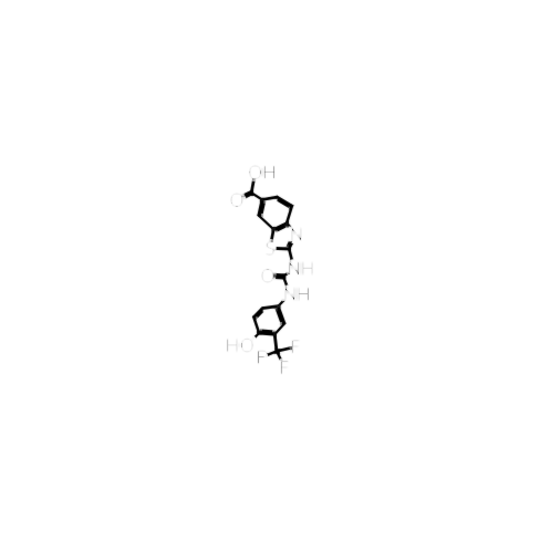 O=C(Nc1ccc(O)c(C(F)(F)F)c1)Nc1nc2ccc(C(=O)O)cc2s1